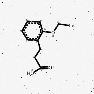 O=C(O)CCc1ccccc1OCI